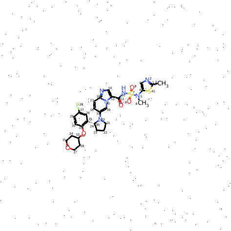 Cc1ncc(N(C)S(=O)(=O)NC(=O)c2cnc3ccc(N4CCC[C@@H]4c4cc(F)ccc4OC4CCOCC4)cn23)s1